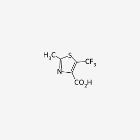 Cc1nc(C(=O)O)c(C(F)(F)F)s1